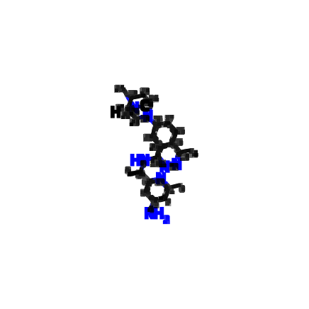 Cc1cc(N)cc([C@@H](C)Nc2nnc(C)c3ccc(N4C[C@H]5CCC4CN5C)cc23)n1